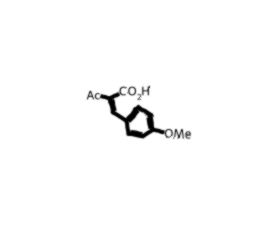 COc1ccc(C=C(C(C)=O)C(=O)O)cc1